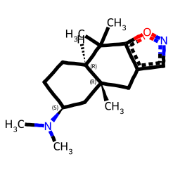 CN(C)[C@H]1CC[C@H]2C(C)(C)c3oncc3C[C@]2(C)C1